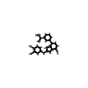 O=C(O)c1cccc(-c2ccc(F)c3cc(Cc4ccc(F)c(F)c4)sc23)c1